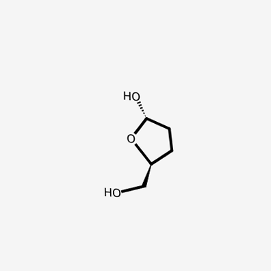 OC[C@@H]1CC[C@@H](O)O1